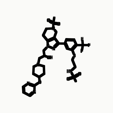 CS(=O)(=O)NCCSc1cc(-c2nn(CC(O)CN3CCC(Oc4ncccn4)CC3)c3c2CN(S(C)(=O)=O)CC3)ccc1C(F)(F)F